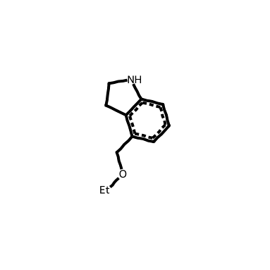 CCOCc1cccc2c1CCN2